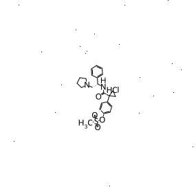 CS(=O)(=O)Oc1ccc(C2(C(=O)N[C@H](CN3CCCC3)c3ccccc3)CC2)cc1.Cl